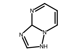 C1=CN2NC=NC2N=C1